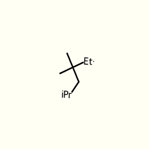 C[CH]C(C)(C)CC(C)C